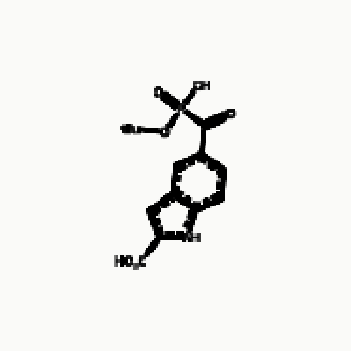 CC(C)(C)OP(=O)(O)C(=O)c1ccc2[nH]c(C(=O)O)cc2c1